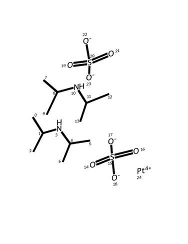 CC(C)NC(C)C.CC(C)NC(C)C.O=S(=O)([O-])[O-].O=S(=O)([O-])[O-].[Pt+4]